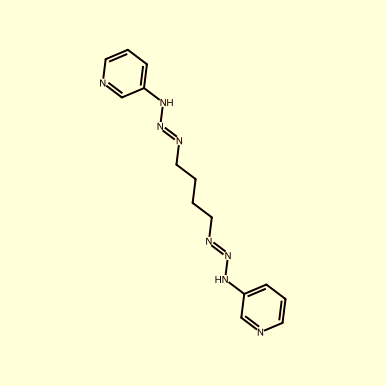 c1cncc(NN=NCCCCN=NNc2cccnc2)c1